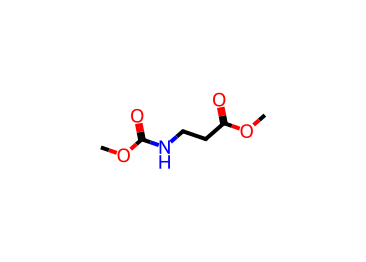 COC(=O)CCNC(=O)OC